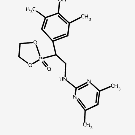 Cc1cc(C)nc(NCC(c2cc(C)c(O)c(C)c2)P2(=O)OCCO2)n1